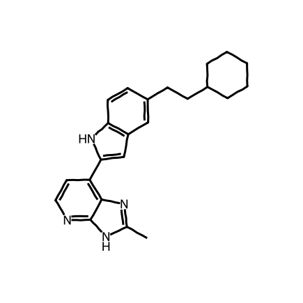 Cc1nc2c(-c3cc4cc(CCC5CCCCC5)ccc4[nH]3)ccnc2[nH]1